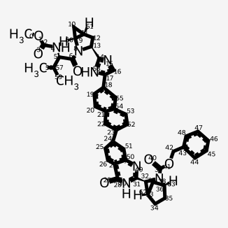 COC(=O)N[C@H](C(=O)N1[C@@H]2C[C@@H]2C[C@H]1c1ncc(-c2ccc3cc(-c4ccc5c(=O)[nH]c([C@@H]6[C@H]7CC[C@H](C7)N6C(=O)OCc6ccccc6)nc5c4)ccc3c2)[nH]1)C(C)C